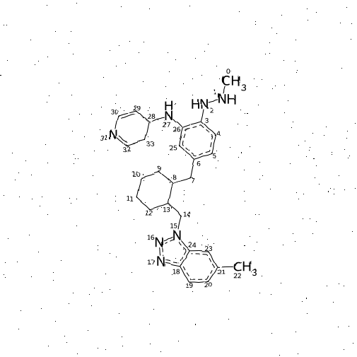 CNNc1ccc(CC2CCCCC2Cn2nnc3ccc(C)cc32)cc1NC1C=CN=CC1